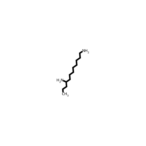 CCCC(N)CCCCCCCCN